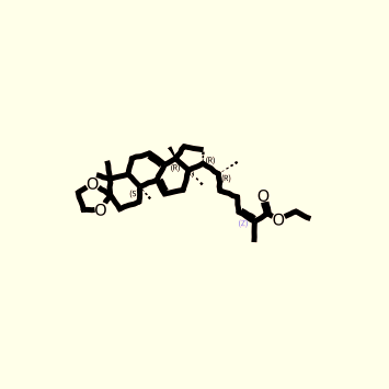 CCOC(=O)/C(C)=C\CC[C@@H](C)[C@H]1CC[C@@]2(C)C3=CCC4C(C)(C)C5(CC[C@]4(C)C3=CC[C@]12C)OCCO5